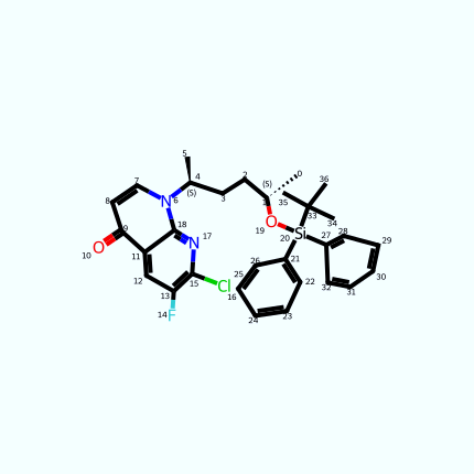 C[C@@H](CC[C@H](C)n1ccc(=O)c2cc(F)c(Cl)nc21)O[Si](c1ccccc1)(c1ccccc1)C(C)(C)C